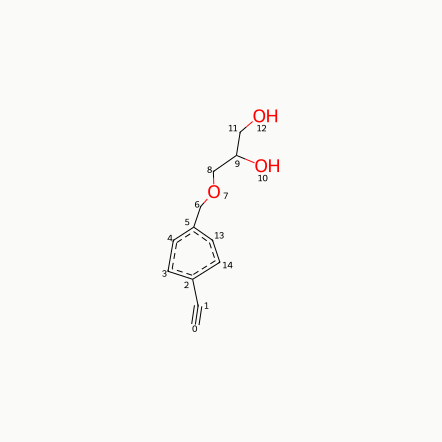 C#Cc1ccc(COCC(O)CO)cc1